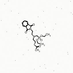 CCOP(=O)(CN(CCSC(C)=O)CCN1C(=O)c2ccccc2C1=O)OCC